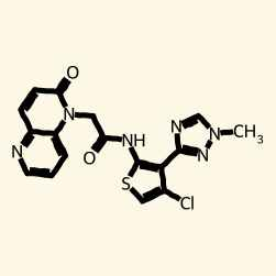 Cn1cnc(-c2c(Cl)csc2NC(=O)Cn2c(=O)ccc3ncccc32)n1